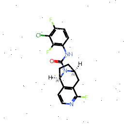 O=C(Nc1ccc(F)c(Cl)c1F)N1[C@H]2CC[C@@H]1c1ccnc(F)c1C2